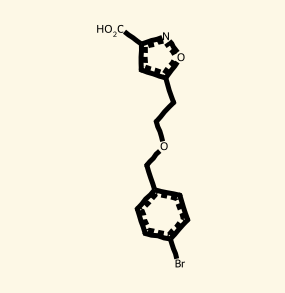 O=C(O)c1cc(CCOCc2ccc(Br)cc2)on1